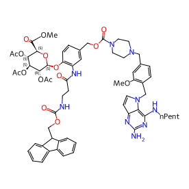 CCCCCNc1nc(N)nc2ccn(Cc3ccc(CN4CCN(C(=O)OCc5ccc(O[C@@H]6O[C@H](C(=O)OC)[C@@H](OC(C)=O)[C@H](OC(C)=O)[C@H]6OC(C)=O)c(NC(=O)CCNC(=O)OCC6c7ccccc7-c7ccccc76)c5)CC4)cc3OC)c12